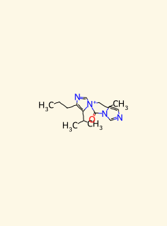 CCCC1=C(C(C)C)[N+](CCC)(C(=O)n2ccnc2)C=N1